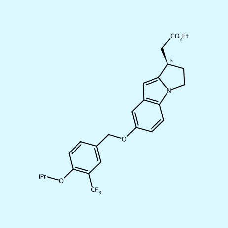 CCOC(=O)C[C@H]1CCn2c1cc1cc(OCc3ccc(OC(C)C)c(C(F)(F)F)c3)ccc12